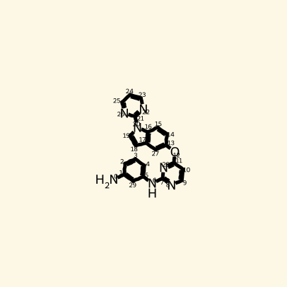 Nc1cccc(Nc2nccc(Oc3ccc4c(ccn4-c4ncccn4)c3)n2)c1